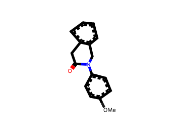 COc1ccc(N2Cc3ccccc3CC2=O)cc1